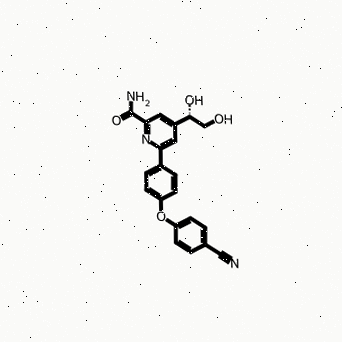 N#Cc1ccc(Oc2ccc(-c3cc([C@H](O)CO)cc(C(N)=O)n3)cc2)cc1